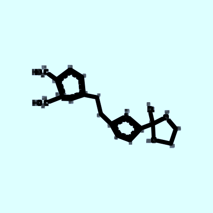 CCC1(c2ccc(CCc3ccc(C(=O)O)c(C(=O)O)c3)s2)OCCO1